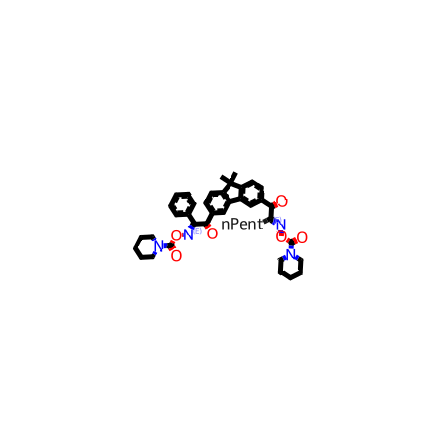 CCCCC/C(=N\OC(=O)N1CCCCC1)C(=O)c1ccc2c(c1)-c1cc(C(=O)/C(=N/OC(=O)N3CCCCC3)c3ccccc3)ccc1C2(C)C